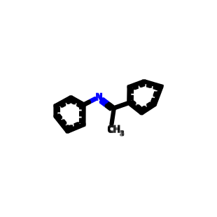 C/C(=N\c1ccccc1)c1ccccc1